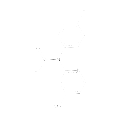 CCCC(=O)N(c1ccc(F)cc1)c1cc(N=O)ccn1